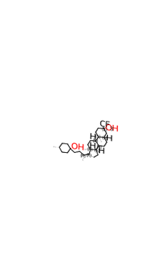 C[C@H](CC[C@]1(O)CC[C@H](C)CC1)[C@H]1CC[C@H]2[C@@H]3CC[C@H]4C[C@](O)(C(F)(F)F)CC[C@]4(C)[C@H]3CC[C@]12C